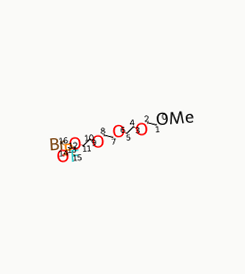 COCCOCCOCCOCCOP(=O)(F)Br